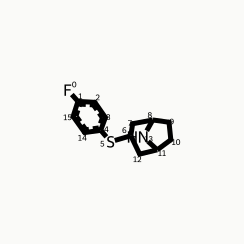 Fc1ccc(SC2CC3CCC(C2)N3)cc1